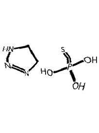 C1CNN=N1.OP(O)(O)=S